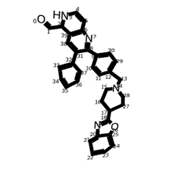 O=CC1NC=Cc2nc(-c3ccc(CN4CCC(c5nc6ccccc6o5)CC4)cc3)c(-c3ccccc3)cc21